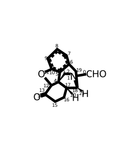 O=CN1CC[C@]23c4c5cccc4OC2C(=O)CC[C@H]3[C@H]1C5